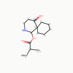 CCCCCCCCCC(C)C(=O)OC1NCCC(=O)C12CCCCC2